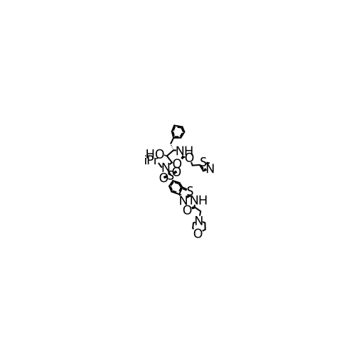 CC(C)CN(C[C@@H](O)[C@H](Cc1ccccc1)NC(=O)OCc1cncs1)S(=O)(=O)c1ccc2nc(NC(=O)CN3CCOCC3)sc2c1